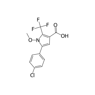 COn1c(-c2ccc(Cl)cc2)cc(C(=O)O)c1C(F)(F)F